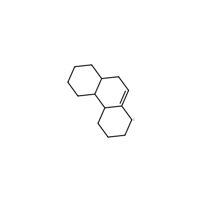 [C]1CCCC2C1=CCC1CCCCC12